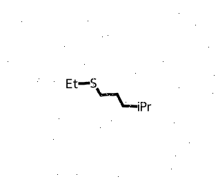 CCSCCCC(C)C